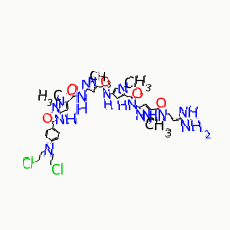 Cn1cc(NC(=O)c2cc(NC(=O)c3cc(NC(=O)c4ccc(N(CCCl)CCCl)cc4)nn3C)nn2C)cc1C(=O)Nc1cc(C(=O)NCCC(=N)N)n(C)n1